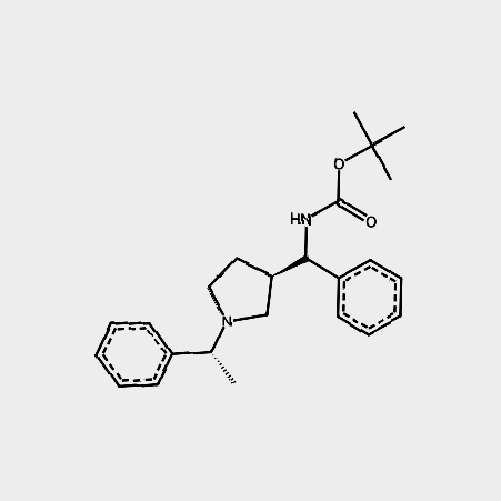 C[C@H](c1ccccc1)N1CC[C@@H](C(NC(=O)OC(C)(C)C)c2ccccc2)C1